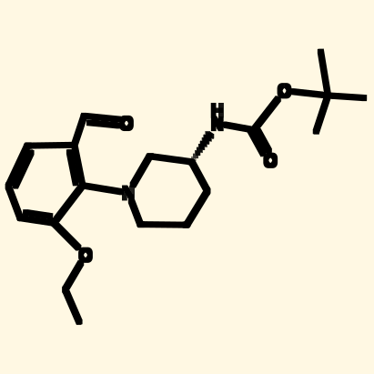 CCOc1cccc(C=O)c1N1CCC[C@@H](NC(=O)OC(C)(C)C)C1